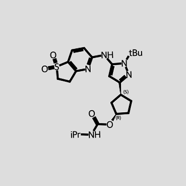 CC(C)NC(=O)O[C@@H]1CC[C@H](c2cc(Nc3ccc4c(n3)CCS4(=O)=O)n(C(C)(C)C)n2)C1